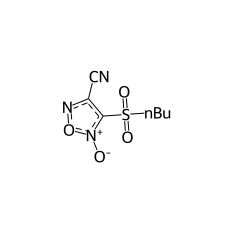 CCCCS(=O)(=O)c1c(C#N)no[n+]1[O-]